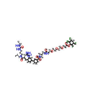 CCCN(CCCNC(=O)NCC)C(=O)C1=Cc2ccc(-c3cccc(S(=O)(=O)N4CC(CNC(=O)CCOCCOCCOCCC(=O)Oc5c(F)c(F)cc(F)c5F)C4)c3)cc2N=C(N)C1